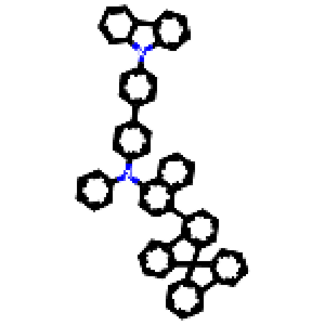 C1=CC2c3ccccc3N(c3ccc(-c4ccc(N(c5ccccc5)c5ccc(-c6cccc7c6-c6ccccc6C76c7ccccc7-c7ccccc76)c6ccccc56)cc4)cc3)C2C=C1